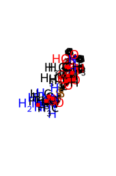 CCC(C)(N)C(=O)[C@@H](CCCNC(=N)N)NC(C)(CC)C(=O)[C@@H](CSSCCCC(=O)C[C@H]1C[C@H]2OC[C@@]2(OC(C)=O)[C@H]2[C@H](OC(=O)c3ccccc3)[C@]3(O)C[C@H](OC(=O)[C@H](O)C(NC(=O)c4ccccc4)c4ccccc4)C(C)=C([C@@H](OC(C)=O)C(=O)[C@]12C)C3(C)C)NC(C)=O